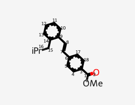 COC(=O)c1ccc(/C=C/c2ccccc2CC(C)C)cc1